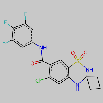 O=C(Nc1cc(F)c(F)c(F)c1)c1cc2c(cc1Cl)NC1(CCC1)NS2(=O)=O